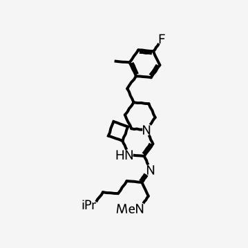 CNC/C(CCCC(C)C)=N/C(=C/N1CCC(Cc2ccc(F)cc2C)CC1)NC1CCC1